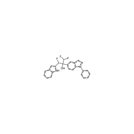 OC(c1ccc2c(cnn2-c2ccccc2)c1)(C(F)F)C(F)c1cc2ccccc2[nH]1